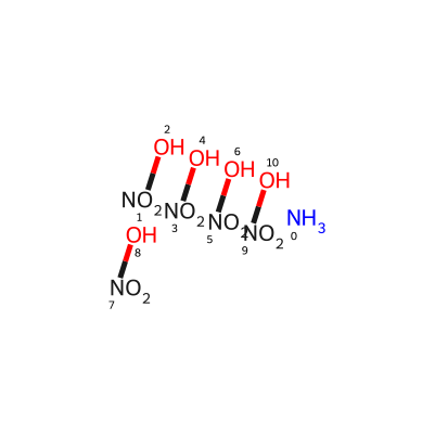 N.O=[N+]([O-])O.O=[N+]([O-])O.O=[N+]([O-])O.O=[N+]([O-])O.O=[N+]([O-])O